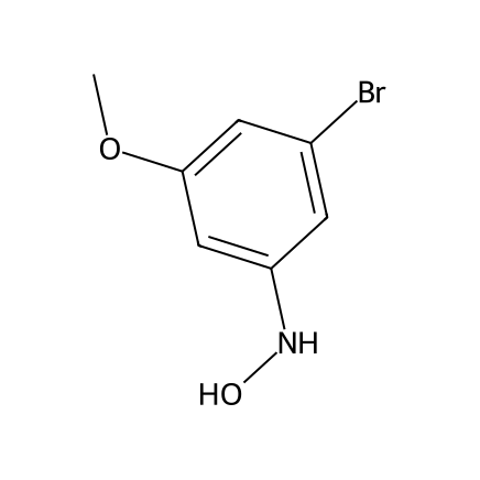 COc1cc(Br)cc(NO)c1